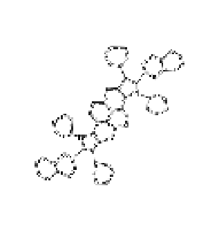 c1ccc(-c2c(-c3ccc4ccccc4c3)n(-c3ccccc3)c3c2cc2ccc4c5c(ccc3c25)cc2c(-c3ccccc3)c(-c3ccc5ccccc5c3)n(-c3ccccc3)c24)cc1